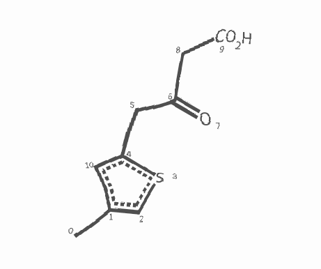 Cc1csc(CC(=O)CC(=O)O)c1